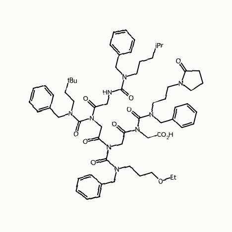 CCOCCCN(Cc1ccccc1)C(=O)N(CC(=O)N(CC(=O)O)C(=O)N(CCCN1CCCC1=O)Cc1ccccc1)C(=O)CN(C(=O)CNC(=O)N(CCCC(C)C)Cc1ccccc1)C(=O)N(CCC(C)(C)C)Cc1ccccc1